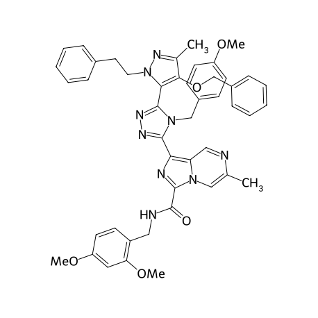 COc1ccc(Cn2c(-c3nc(C(=O)NCc4ccc(OC)cc4OC)n4cc(C)ncc34)nnc2-c2c(OCc3ccccc3)c(C)nn2CCc2ccccc2)cc1